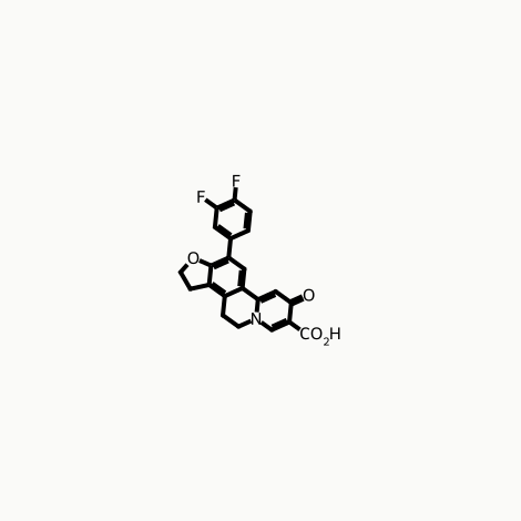 O=C(O)c1cn2c(cc1=O)-c1cc(-c3ccc(F)c(F)c3)c3c(c1CC2)CCO3